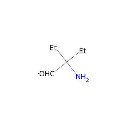 CCC(N)([C]=O)CC